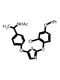 CCCOc1ccc(Oc2ncc(Oc3ccc(C(C)NC(C)=O)cc3)s2)c(Cl)c1